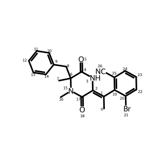 CC(=C1NC(=O)C(C)(Cc2ccccc2)N(C)C1=O)c1c(Br)cccc1C#N